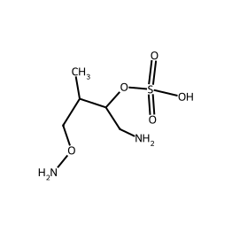 CC(CON)C(CN)OS(=O)(=O)O